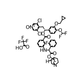 O=C(O)C(F)(F)F.O=C(O[C@@H](Cc1c(Cl)c[n+]([O-])cc1Cl)c1ccc(OC(F)F)c(OCC2CC2)c1)c1cccc(NC(C(=O)O[C@H]2CN3CCC2CC3)c2ccccc2F)c1